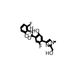 Cn1cc(-c2cc(O)c(C(=O)Nc3c(F)cccc3Cl)cc2F)nc1CO